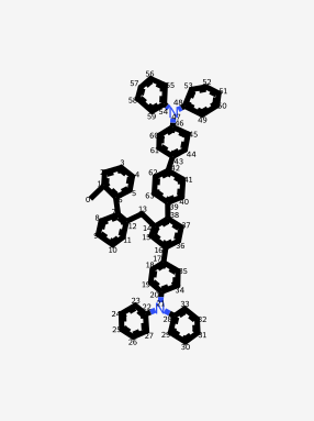 Cc1ccccc1-c1ccccc1Cc1cc(-c2ccc(N(c3ccccc3)c3ccccc3)cc2)ccc1-c1ccc(-c2ccc(N(c3ccccc3)c3ccccc3)cc2)cc1